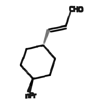 CCC[C@H]1CC[C@H](C=CC=O)CC1